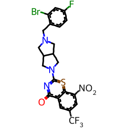 O=c1nc(N2CC3CN(Cc4ccc(F)cc4Br)CC3C2)sc2c([N+](=O)[O-])cc(C(F)(F)F)cc12